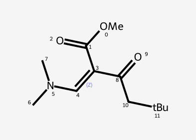 COC(=O)/C(=C\N(C)C)C(=O)CC(C)(C)C